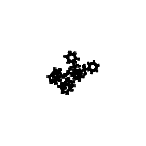 CC(C)(c1ccccc1)[C]12[CH]3[CH]4[C]5(CP(C6C7CC8CC(C7)CC6C8)C6C7CC8CC(C7)CC6C8)[C]1(C(C)(C)c1ccccc1)[Fe]43521678[CH]2[CH]1[CH]6[CH]7[CH]28